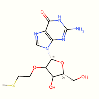 CSCCOC1C(O)[C@@H](CO)O[C@H]1n1cnc2c(=O)[nH]c(N)nc21